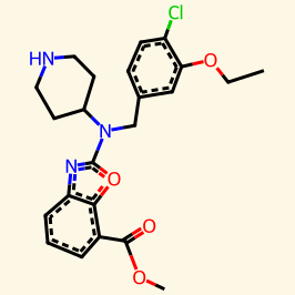 CCOc1cc(CN(c2nc3cccc(C(=O)OC)c3o2)C2CCNCC2)ccc1Cl